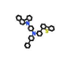 c1ccc(-c2ccc(N(c3ccc(-n4c5ccccc5c5c6ccccc6ccc54)cc3)c3cccc(-c4cccc5c4sc4ccccc45)c3)cc2)cc1